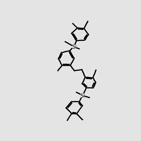 Cc1ccc([Si](C)(C)c2ccc(C)c(CCc3cc([Si](C)(C)c4ccc(C)c(C)c4)ccc3C)c2)cc1C